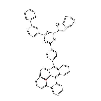 c1ccc(-c2cccc(-c3nc(-c4ccc(-c5c6ccccc6c(-c6ccccc6-c6ccccc6)c6ccccc56)cc4)nc(-c4cc5ccccc5o4)n3)c2)cc1